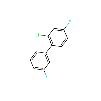 Fc1cc[c]c(-c2ccc(F)cc2Cl)c1